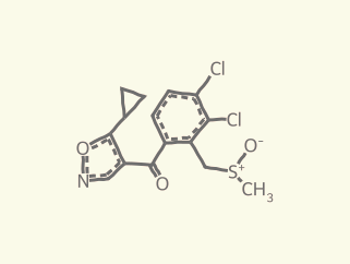 C[S+]([O-])Cc1c(C(=O)c2cnoc2C2CC2)ccc(Cl)c1Cl